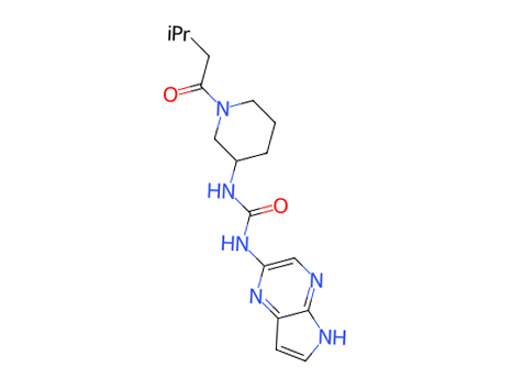 CC(C)CC(=O)N1CCCC(NC(=O)Nc2cnc3[nH]ccc3n2)C1